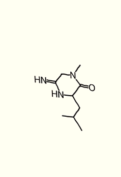 CC(C)CC1NC(=N)CN(C)C1=O